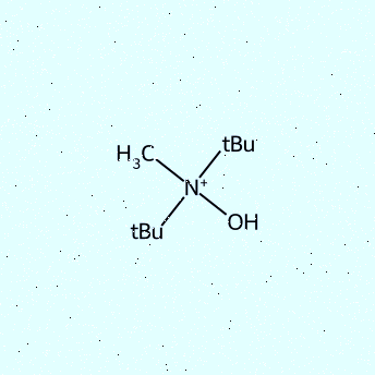 CC(C)(C)[N+](C)(O)C(C)(C)C